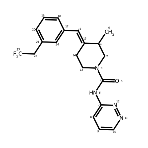 CC1CN(C(=O)Nc2cccnn2)CC/C1=C\c1cccc(CC(F)(F)F)c1